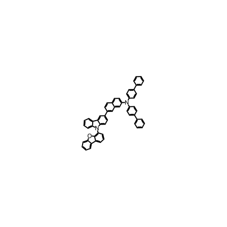 c1ccc(-c2ccc(N(c3ccc(-c4ccccc4)cc3)c3ccc4ccc(-c5ccc6c(c5)c5ccccc5n6-c5cccc6c5oc5ccccc56)cc4c3)cc2)cc1